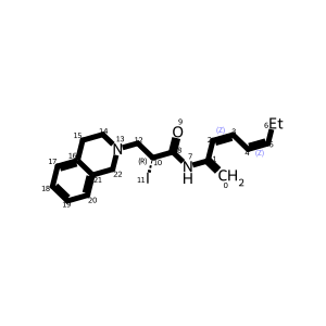 C=C(/C=C\C=C/CC)NC(=O)[C@H](I)CN1CCc2ccccc2C1